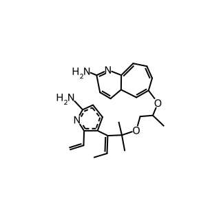 C=Cc1nc(N)ccc1/C(=C\C)C(C)(C)OCC(C)OC1=CC2C=CC(N)=NC2=CC=C1